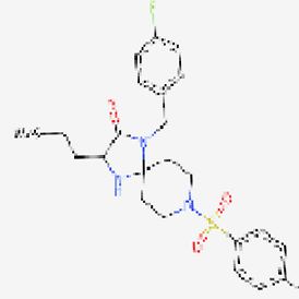 CSCCC1NC2(CCN(S(=O)(=O)c3ccc(C)cc3)CC2)N(Cc2ccc(F)cc2)C1=O